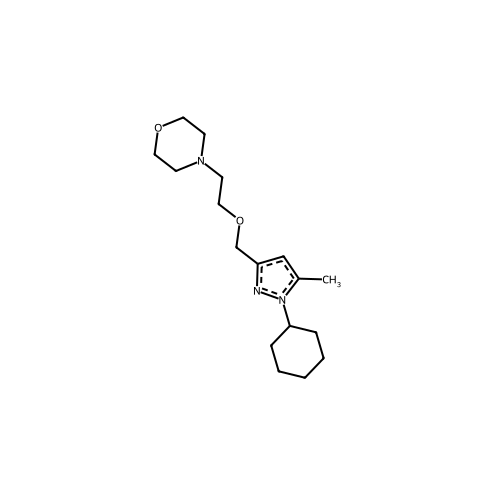 Cc1cc(COCCN2CCOCC2)nn1C1CCCCC1